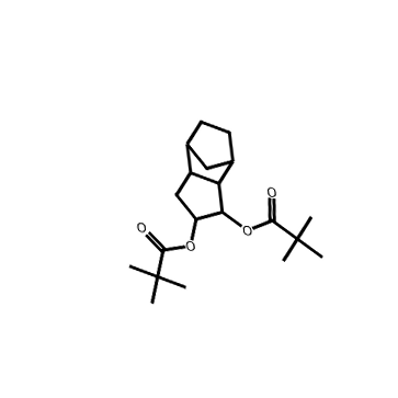 CC(C)(C)C(=O)OC1CC2C3CCC(C3)C2C1OC(=O)C(C)(C)C